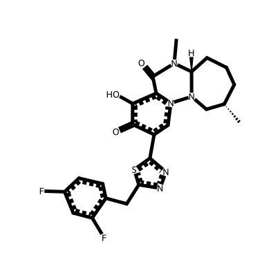 C[C@H]1CCC[C@H]2N(C)C(=O)c3c(O)c(=O)c(-c4nnc(Cc5ccc(F)cc5F)s4)cn3N2C1